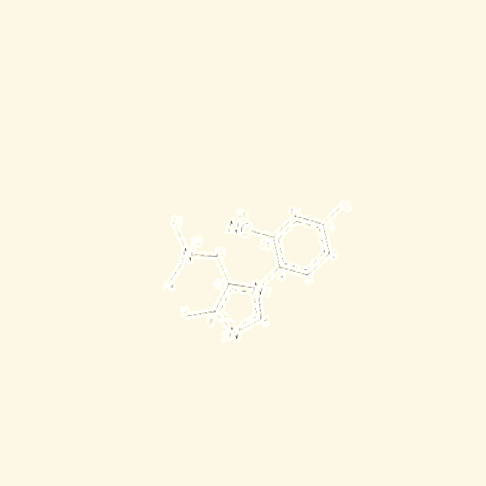 Cc1ccc(-n2cnc(C)c2CN(C)C)c(C#N)c1